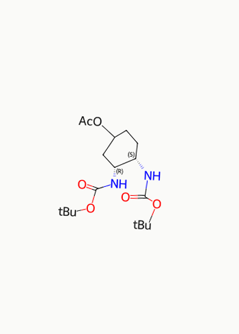 CC(=O)OC1CC[C@H](NC(=O)OC(C)(C)C)[C@H](NC(=O)OC(C)(C)C)C1